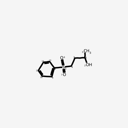 CC(O)CCS(=O)(=O)c1ccccc1